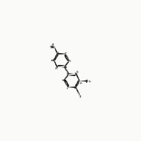 CC(C)(C)c1ccc(-c2ccc(I)c(F)n2)cc1